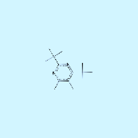 Cc1nc(C(C)(C)C)nc(C(C)(C)C)c1C